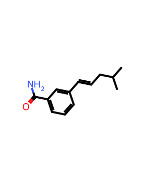 CC(C)C/C=C/c1cccc(C(N)=O)c1